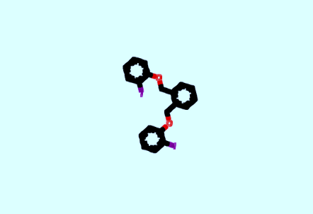 Ic1ccccc1OCc1ccccc1COc1ccccc1I